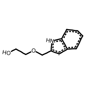 OCCOCc1[c]c2ccccc2[nH]1